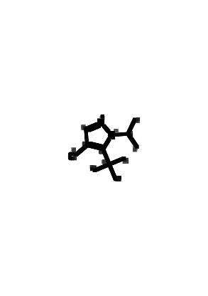 CC(C)n1ncc(Cl)c1C(C)(C)C